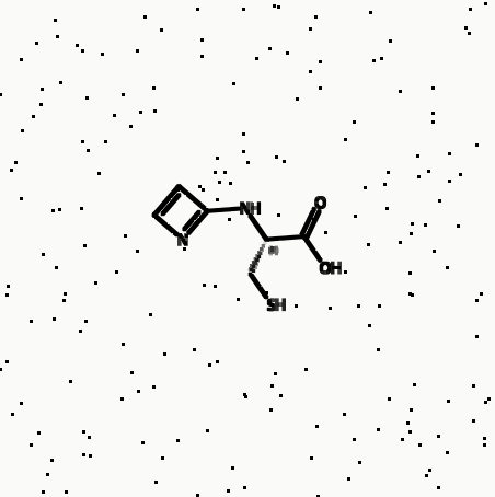 O=C(O)[C@H](CS)NC1=NC=C1